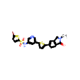 CN1Cc2cc(-c3ccc(-c4cncc(NS(=O)(=O)c5ccc(Br)s5)c4)s3)ccc2C1=O